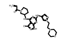 C=CC(=O)N1CCCC(Nc2nc(Nc3cnn(CCN4CCOCC4)c3)nc3[nH]nc(Cl)c23)C1